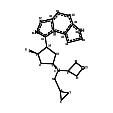 I[C@@H]1C[C@H](N(CC2CC2)C2COC2)CC1c1nnc2cnc3[nH]ccc3n12